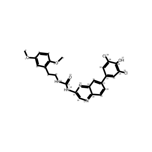 COc1ccc(OC)c(CCNC(=O)Nc2cnc3ccc(-c4cc(Cl)c(O)c(Cl)c4)cc3n2)c1